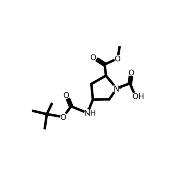 COC(=O)C1CC(NC(=O)OC(C)(C)C)CN1C(=O)O